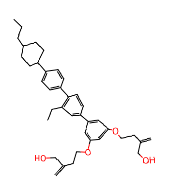 C=C(CO)CCOc1cc(OCCC(=C)CO)cc(-c2ccc(-c3ccc(C4CCC(CCC)CC4)cc3)c(CC)c2)c1